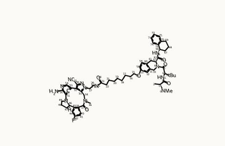 CN[C@@H](C)C(=O)NC(C(=O)N1Cc2cc(OCCCCCCCCC(=O)NCCn3nc(C#N)c4c3CN(C)C(=O)c3ccc(F)cc3[C@H]3CCCN3c3cc-4cnc3N)ccc2C[C@H]1C(=O)N[C@@H]1CCCc2ccccc21)C(C)(C)C